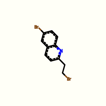 BrCCc1ccc2cc(Br)ccc2n1